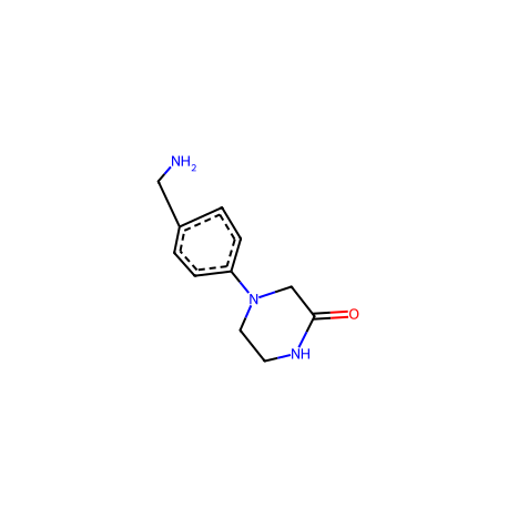 NCc1ccc(N2CCNC(=O)C2)cc1